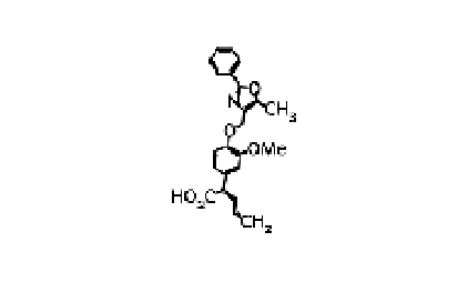 C=CC=C(C(=O)O)c1ccc(OCc2nc(-c3ccccc3)oc2C)c(OC)c1